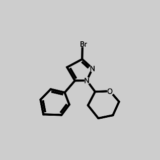 Brc1cc(-c2ccccc2)n(C2CCCCO2)n1